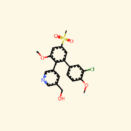 COc1ccc(-c2cc(S(C)(=O)=O)cc(OC)c2-c2cncc(CO)c2)cc1Cl